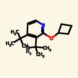 CC(C)(C)c1ccnc(OC2CCC2)c1C(C)(C)C